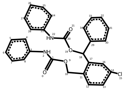 O=C(Nc1ccccc1)OCc1ccc(Cl)cc1C(OC(=O)Nc1ccccc1)c1ccccc1